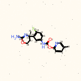 Cc1ccc(OC(=O)Nc2ccc(F)c([C@]3(C)CCOC(N)=N3)c2)nc1